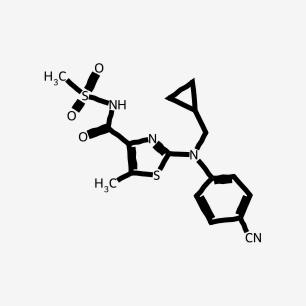 Cc1sc(N(CC2CC2)c2ccc(C#N)cc2)nc1C(=O)NS(C)(=O)=O